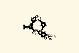 Cn1ncc2c1OCC1CCC(C1)CN1/C(=N/C(=O)c3cc-2nc(C2CC2)c3)Nc2ccc(N=S(C)(C)=O)cc21